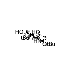 CC(C)(C)OC(=O)N[C@H](CO)CCN(C(=O)O)C(C)(C)C